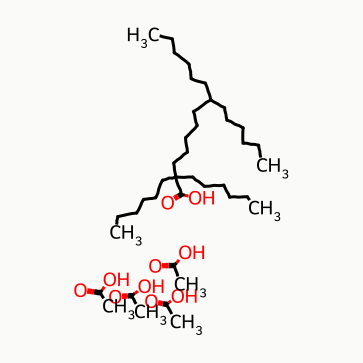 CC(=O)O.CC(=O)O.CC(=O)O.CC(=O)O.CCCCCCC(CCCCCC)CCCCCC(CCCCCC)(CCCCCC)C(=O)O